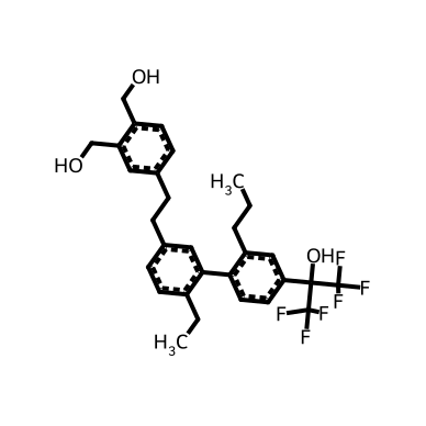 CCCc1cc(C(O)(C(F)(F)F)C(F)(F)F)ccc1-c1cc(CCc2ccc(CO)c(CO)c2)ccc1CC